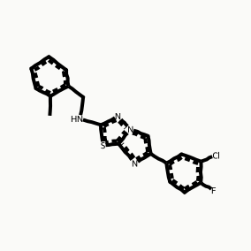 Cc1ccccc1CNc1nn2cc(-c3ccc(F)c(Cl)c3)nc2s1